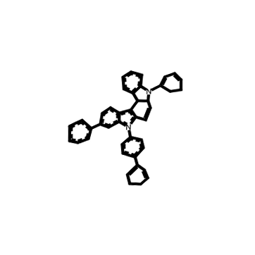 C1=CCCC(N2c3ccccc3C3c4c(n(-c5ccc(C6=CCCC=C6)cc5)c5cc(-c6ccccc6)ccc45)C=CC32)=C1